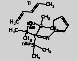 C=CC=CC.CCCC[Si](C)(C)P(=NC1=CC=CC1)([Si](C)(C)CCCC)[Si](C)(C)CCCC.[Ti]